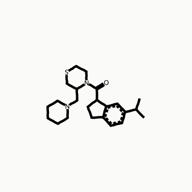 CC(C)c1ccc2c(c1)C(C(=O)N1CCSCC1CN1CCCCC1)CC2